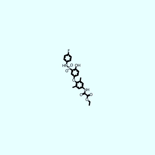 CCOC(=O)C(=O)Nc1cc(C)c(Oc2ccc(O)c(S(=O)(=O)Nc3ccc(F)cc3)c2)c(C)c1